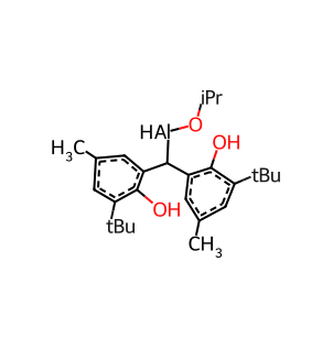 Cc1cc([CH]([AlH][O]C(C)C)c2cc(C)cc(C(C)(C)C)c2O)c(O)c(C(C)(C)C)c1